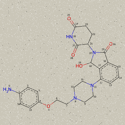 Nc1ccc(OCCN2CCN(c3cccc4c3C(O)N(C3CCC(=O)NC3=O)C4=O)CC2)cc1